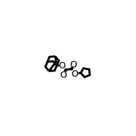 O=C(OC1CCCC1)C(=O)OC12CC3CC(CC(C3)C1)C2